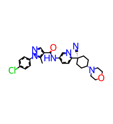 Cc1c(C(=O)Nc2ccc([C@]3(C#N)CC[C@@H](N4CCOCC4)CC3)nc2)cnn1-c1ccc(Cl)cc1